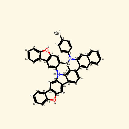 CC(C)(C)c1ccc(N2B3c4cc5oc6ccccc6c5cc4-n4c5cc6c(cc5c5ccc(c3c54)-c3cc4ccccc4cc32)oc2ccccc26)cc1